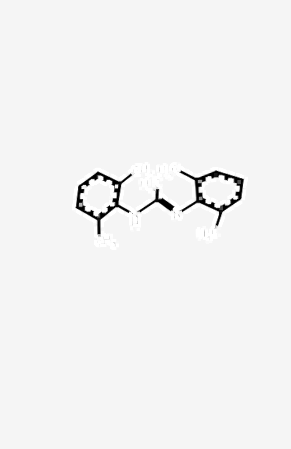 C/C(=N\c1c(C)cccc1C)Nc1c(C)cccc1C